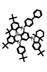 CC(C)(C)c1ccc(N2c3cc(N4c5ccc(C(C)(C)C)cc5C5(C)CCCCC45C)cc4c3B3c5c(cc(C(C)(C)C)cc5C(C)(C)c5cc(C(C)(C)C)cc2c53)N4c2ccc(-c3ccccc3)cc2)cc1